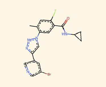 Cc1cc(F)c(C(=O)NC2CC2)cc1-n1cc(-c2cncc(Br)c2)nn1